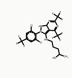 CC(O)CCCNC1=C2C(C(F)(F)F)=NC(C(F)(F)F)=NC2NN1c1c(Cl)cc(C(F)(F)F)cc1Cl